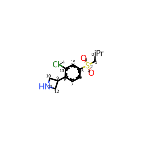 CC(C)CS(=O)(=O)c1ccc(C2CNC2)c(Cl)c1